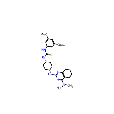 COc1cc(NC(=S)N[C@H]2CC[C@@H](Nc3nc4c(c(N(C)C)n3)CCCC4)CC2)cc(OC)c1